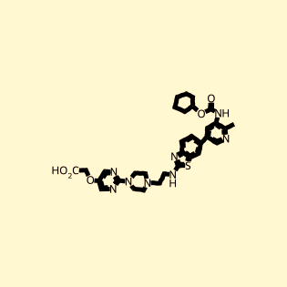 Cc1ncc(-c2ccc3nc(NCCN4CCN(c5ncc(OCC(=O)O)cn5)CC4)sc3c2)cc1NC(=O)OC1CCCCC1